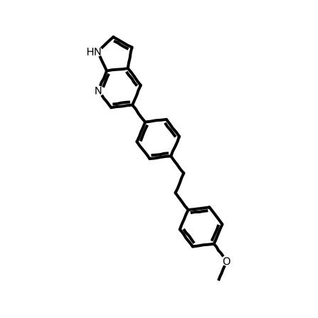 COc1ccc(CCc2ccc(-c3cnc4[nH]ccc4c3)cc2)cc1